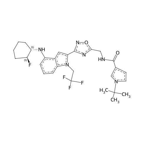 CC(C)(C)n1ccc(C(=O)NCc2nc(-c3cc4c(N[C@H]5CCCC[C@@H]5F)cccc4n3CC(F)(F)F)no2)c1